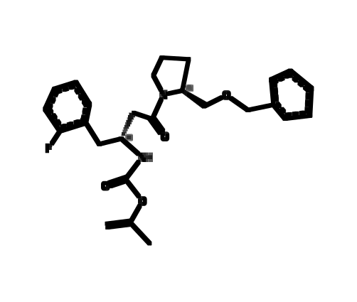 C=C(C)OC(=O)N[C@@H](CC(=O)N1CCC[C@H]1COCc1ccccc1)Cc1ccccc1F